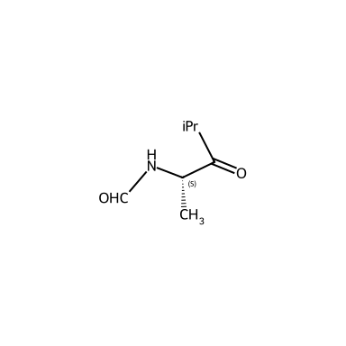 CC(C)C(=O)[C@H](C)NC=O